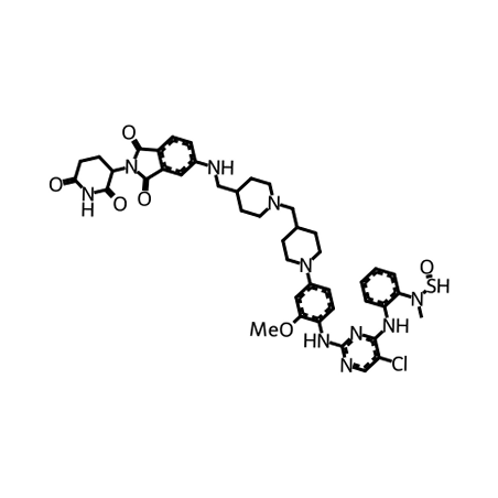 COc1cc(N2CCC(CN3CCC(CNc4ccc5c(c4)C(=O)N(C4CCC(=O)NC4=O)C5=O)CC3)CC2)ccc1Nc1ncc(Cl)c(Nc2ccccc2N(C)[SH]=O)n1